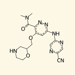 CN(C)C(=O)c1nnc(Nc2cnc(C#N)cn2)cc1OCC1CNCCO1